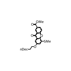 CCCCCCCCCCCCOc1cc(SC)c2oc3ccc(C(=O)OC)cc3c(=O)c2c1